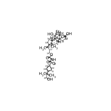 CC[C@H]1[C@@H](O)[C@@H]2[C@H](CC[C@]3(C)[C@@H]([C@H](C)CCOC(=O)NS(=O)(=O)c4ccc(C(C)(C)CO)cc4)CC[C@@H]23)[C@@]2(C)CC[C@@H](O)C[C@@H]12